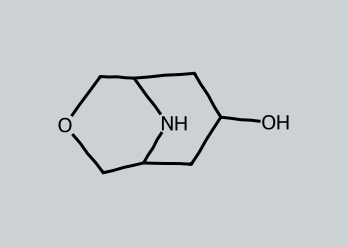 OC1CC2COCC(C1)N2